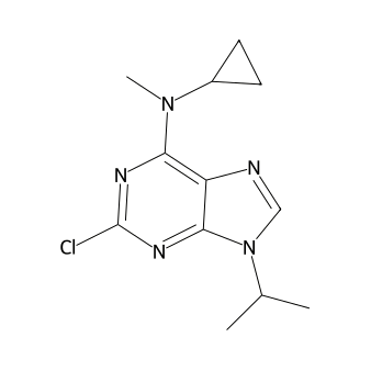 CC(C)n1cnc2c(N(C)C3CC3)nc(Cl)nc21